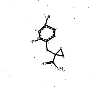 NC(=O)C1(Cc2ccc(Br)cc2F)CC1